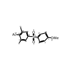 COc1ccc(S(=O)(=O)c2cc(C)c(C(C)=O)c(C)c2)cc1